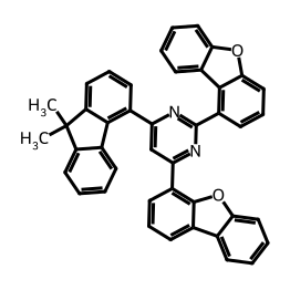 CC1(C)c2ccccc2-c2c(-c3cc(-c4cccc5c4oc4ccccc45)nc(-c4cccc5oc6ccccc6c45)n3)cccc21